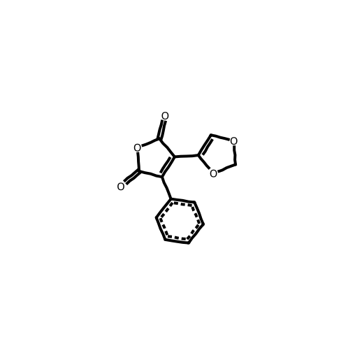 O=C1OC(=O)C(c2ccccc2)=C1C1=COCO1